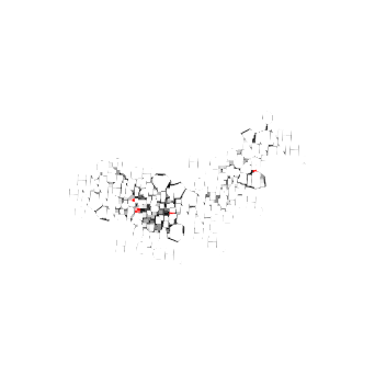 CC(C)OC(=O)[C@H](C)NP(=O)(Oc1ccccc1)O[C@@H](C)[C@H]1O[C@@H](n2ccc3c(=O)[nH]c(NC(C)OC(=O)[C@H](C)N[P@@](=O)(Oc4ccccc4)O[C@@H](C)[C@H]4O[C@@H](n5ccc6c(=O)[nH]c(NC(C)OC(=O)[C@H](C)N[P@](=O)(Oc7ccccc7)O[C@@H](C)[C@H]7O[C@@H](n8ccc9c(=O)[nH]c(N)nc98)[C@@](F)(CF)C7O)nc65)[C@@](F)(CF)C4O)nc32)[C@@](F)(CF)C1O